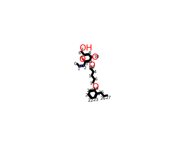 C/C=C\c1oc(CO)cc(=O)c1OCCCCCOc1ccccc1CCC